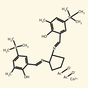 CC(=O)[O-].CC(=O)[O-].Cc1cc([Si](C)(C)C)cc(C=NC2CCCC2N=Cc2cc([Si](C)(C)C)cc(C)c2O)c1O.[Co+2]